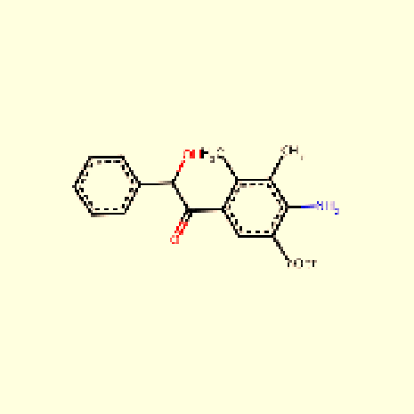 CCCCCCCCc1cc(C(=O)C(O)c2ccccc2)c(C)c(C)c1N